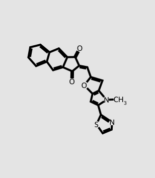 Cn1c(-c2nccs2)cc2oc(C=C3C(=O)c4cc5ccccc5cc4C3=O)cc21